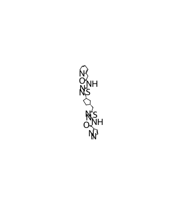 Cn1ccc(C(=O)Nc2nnc(C[C@H]3CC[C@@H](c4nnc(NC(=O)Cc5ccccn5)s4)C3)s2)n1